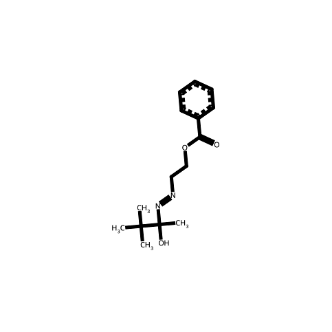 CC(C)(C)C(C)(O)/N=N/CCOC(=O)c1ccccc1